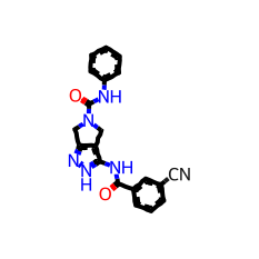 N#Cc1cccc(C(=O)Nc2[nH]nc3c2CN(C(=O)Nc2ccccc2)C3)c1